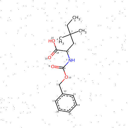 CCC(C)(C)CC(NC(=O)OCc1ccccc1)C(=O)O